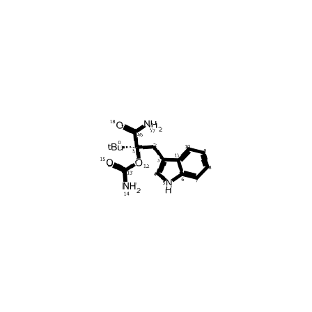 CC(C)(C)[C@](Cc1c[nH]c2ccccc12)(OC(N)=O)C(N)=O